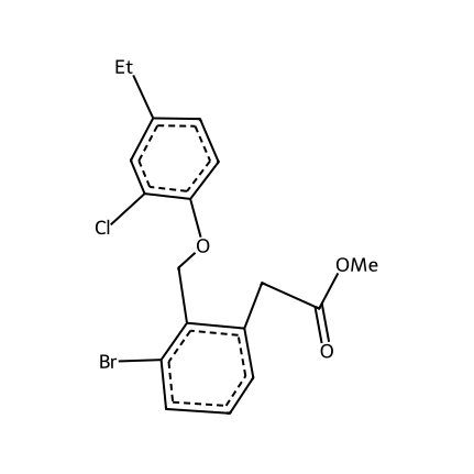 CCc1ccc(OCc2c(Br)cccc2CC(=O)OC)c(Cl)c1